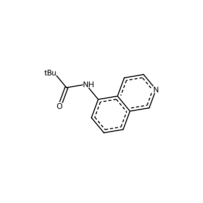 CC(C)(C)C(=O)Nc1cccc2cnccc12